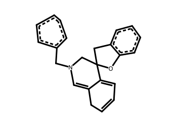 C1=CCC2=CN(Cc3ccccc3)CC3(Cc4ccccc4O3)C2=C1